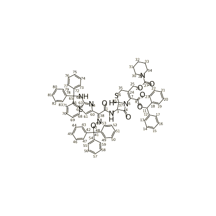 O=C(NC1C(=O)N2C(C(=O)OC(c3ccccc3)c3ccccc3)=C(COC(=O)N3CCCCC3)CS[C@@H]12)C(=NOC(c1ccccc1)(c1ccccc1)c1ccccc1)c1csc(NC(c2ccccc2)(c2ccccc2)c2ccccc2)n1